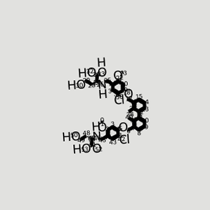 COc1cc(OCc2cccc(-c3cccc(COc4cc(OC)c(CN[C@@H](CCO)C(O)O)cc4Cl)c3C)c2C)c(Cl)cc1CN[C@@H](CCO)C(=O)O